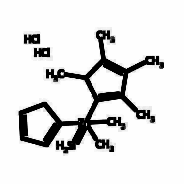 CC1=C(C)C(C)[C]([Zr]([CH3])([CH3])(=[SiH2])[C]2=CC=CC2)=C1C.Cl.Cl